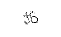 CC(N1CCOCC1)S(=O)(=O)[O-].O.[Na+]